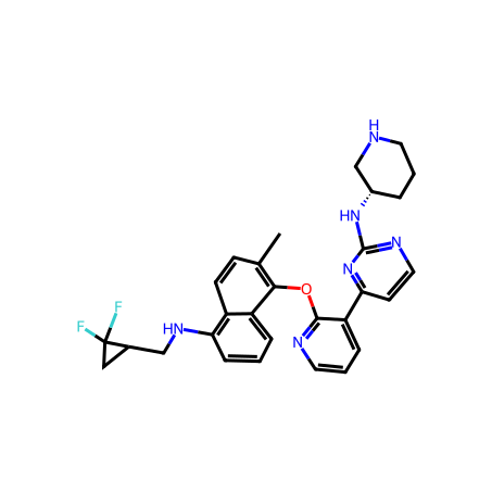 Cc1ccc2c(NCC3CC3(F)F)cccc2c1Oc1ncccc1-c1ccnc(N[C@H]2CCCNC2)n1